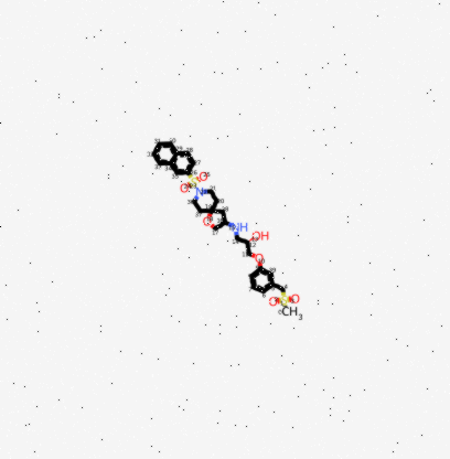 CS(=O)(=O)Cc1cccc(OC[C@@H](O)CNC2COC3(CCN(S(=O)(=O)c4ccc5ccccc5c4)CC3)C2)c1